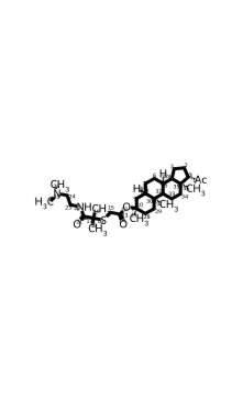 CC(=O)[C@H]1CCC2[C@@H]3CC[C@H]4C[C@](C)(OC(=O)CSC(C)(C)C(=O)NCCN(C)C)CC[C@]4(C)C3CC[C@@]21C